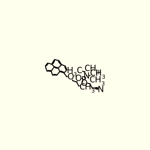 CCC(COCc1ccc2ccc3cccc4ccc1c2c34)OP(OCCC#N)N(C(C)C)C(C)C